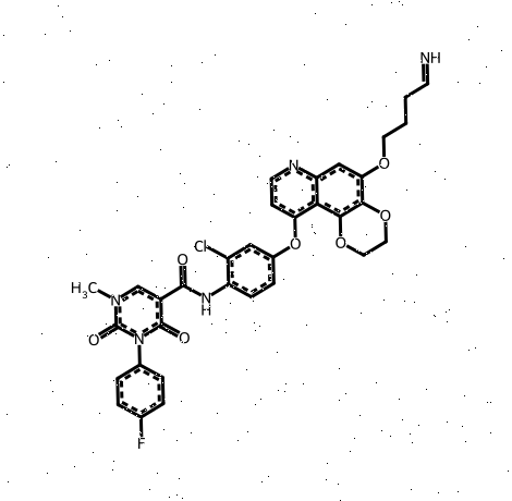 Cn1cc(C(=O)Nc2ccc(Oc3ccnc4cc(OCCCC=N)c5c(c34)OCCO5)cc2Cl)c(=O)n(-c2ccc(F)cc2)c1=O